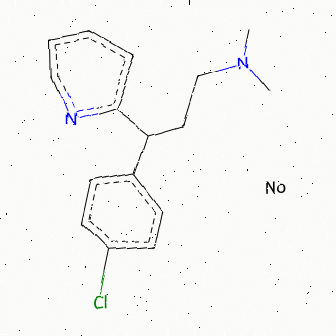 CN(C)CCC(c1ccc(Cl)cc1)c1ccccn1.[No]